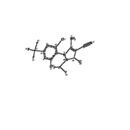 N#CC1=C(N)N(c2c(Cl)cc(C(F)(F)F)cc2Cl)N(C(F)F)C1Cl